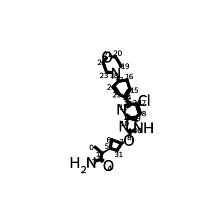 CC(C(N)=O)[C@H]1C[C@@H](Oc2nc3nc(C4=CCC(N5CCOCC5)C=C4)c(Cl)cc3[nH]2)C1